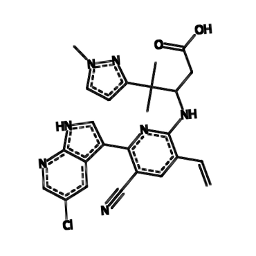 C=Cc1cc(C#N)c(-c2c[nH]c3ncc(Cl)cc23)nc1NC(CC(=O)O)C(C)(C)c1ccn(C)n1